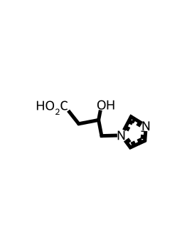 O=C(O)CC(O)Cn1ccnc1